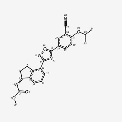 COC(=O)/N=C1/CCc2c1cccc2-c1noc(-c2ccc(OC(C)C)c(C#N)c2)n1